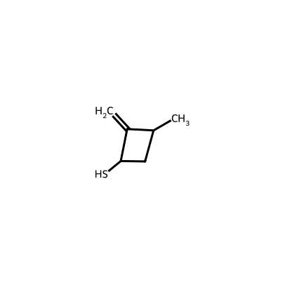 C=C1C(C)CC1S